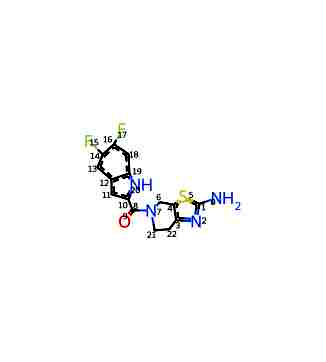 Nc1nc2c(s1)CN(C(=O)c1cc3cc(F)c(F)cc3[nH]1)CC2